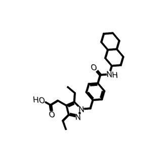 CCc1nn(Cc2ccc(C(=O)NC3CCC4CCCCC4C3)cc2)c(CC)c1CC(=O)O